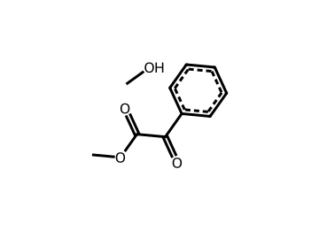 CO.COC(=O)C(=O)c1ccccc1